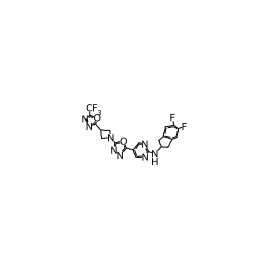 Fc1cc2c(cc1F)CC(Nc1ncc(-c3nnc(N4CC(c5nnc(C(F)(F)F)o5)C4)o3)cn1)C2